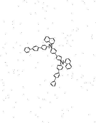 c1ccc(-c2ccc(-c3ccc(N(c4ccc(-c5ccc(N(c6ccc(-c7ccc(-c8ccccc8)cc7)cc6)c6cccc7ccccc67)cc5)cc4)c4cccc5ccccc45)cc3)cc2)cc1